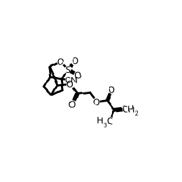 C=C(C)C(=O)OCC(=O)OC1C2CC3C1OS(=O)(=O)C3(C#N)C2